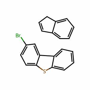 Brc1ccc2sc3ccccc3c2c1.C1=Cc2ccccc2C1